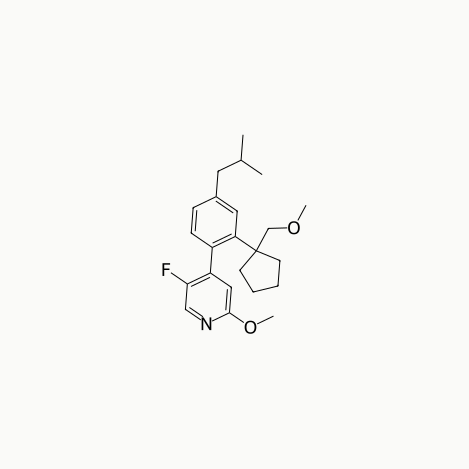 COCC1(c2cc(CC(C)C)ccc2-c2cc(OC)ncc2F)CCCC1